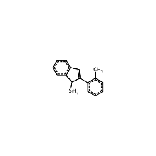 Cc1ccccc1C1=Cc2ccccc2C1[SiH3]